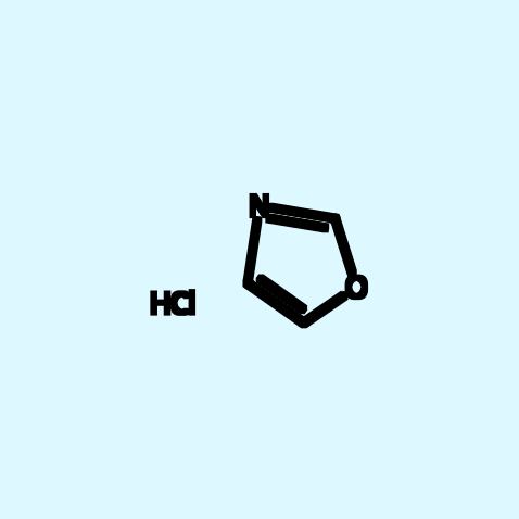 Cl.c1cocn1